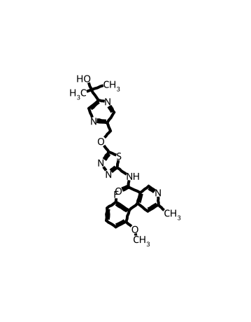 COc1cccc(F)c1-c1cc(C)ncc1C(=O)Nc1nnc(OCc2cnc(C(C)(C)O)cn2)s1